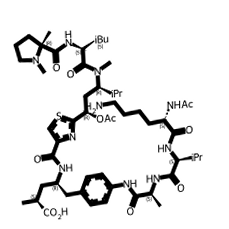 CC[C@H](C)[C@H](NC(=O)[C@@]1(C)CCCN1C)C(=O)N(C)[C@H](C[C@@H](OC(C)=O)c1nc(C(=O)N[C@@H](Cc2ccc(NC(=O)[C@H](C)NC(=O)[C@@H](NC(=O)[C@H](CCCCN)NC(C)=O)C(C)C)cc2)C[C@H](C)C(=O)O)cs1)C(C)C